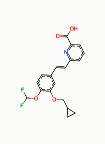 O=C(O)c1cccc(C=Cc2ccc(OC(F)F)c(OCC3CC3)c2)n1